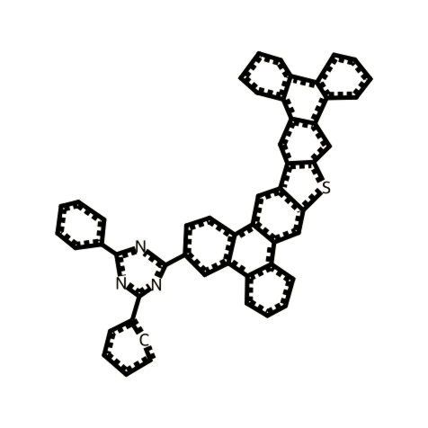 c1ccc(-c2nc(-c3ccccc3)nc(-c3ccc4c(c3)c3ccccc3c3cc5sc6cc7c8ccccc8c8ccccc8c7cc6c5cc43)n2)cc1